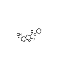 O=C(Oc1ccccc1)c1cc2cc(CO)ccc2oc1=O